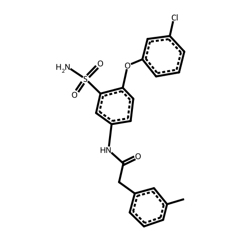 Cc1cccc(CC(=O)Nc2ccc(Oc3cccc(Cl)c3)c(S(N)(=O)=O)c2)c1